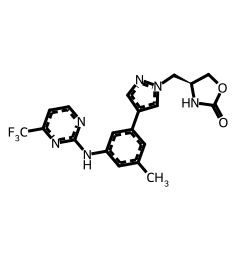 Cc1cc(Nc2nccc(C(F)(F)F)n2)cc(-c2cnn(C[C@H]3COC(=O)N3)c2)c1